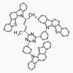 C=C/C(=C\C=C(/C)c1nc(-c2cccc(-n3c4ccccc4c4ccc5c6ccccc6sc5c43)c2)nc(-c2cccc(-n3c4ccccc4c4ccc5c6ccccc6sc5c43)c2)n1)n1c2ccccc2c2ccc3c4ccccc4sc3c21